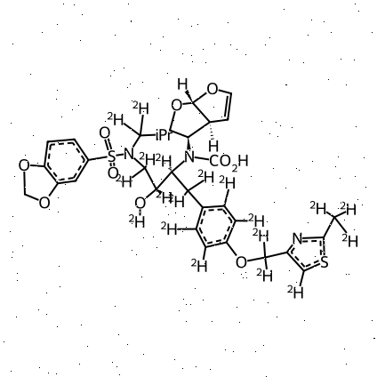 [2H]O[C@]([2H])(C([2H])([2H])N(C([2H])([2H])C(C)C)S(=O)(=O)c1ccc2c(c1)OCO2)[C@@]([2H])(N(C(=O)O)[C@H]1CO[C@@H]2OC=C[C@H]21)C([2H])([2H])c1c([2H])c([2H])c(OC([2H])([2H])c2nc(C([2H])([2H])[2H])sc2[2H])c([2H])c1[2H]